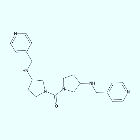 O=C(N1CCC(NCc2ccncc2)C1)N1CCC(NCc2ccncc2)C1